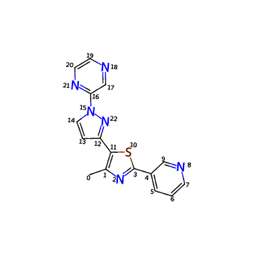 Cc1nc(-c2cccnc2)sc1-c1ccn(-c2cnccn2)n1